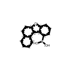 OB(O)c1cccc2oc3ccc4ccccc4c3c12